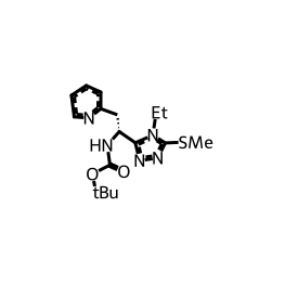 CCn1c(SC)nnc1[C@@H](Cc1ccccn1)NC(=O)OC(C)(C)C